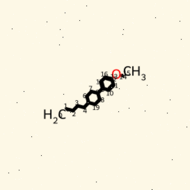 C=CCCCC1CCC(c2ccc(OCC)cc2)CC1